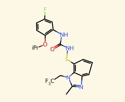 Cc1nc2cccc(SNC(=O)Nc3cc(F)ccc3OC(C)C)c2n1CC(F)(F)F